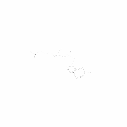 CC(=O)OCO/N=[N+](\O)N[C@@H](C)Cn1ncc2ccc(C)cc21